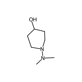 CN(C)N1CCC(O)CC1